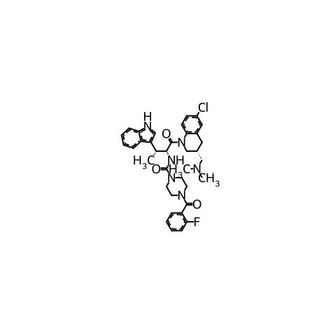 C[C@H](c1c[nH]c2ccccc12)[C@@H](NC(=O)N1CCN(C(=O)c2ccccc2F)CC1)C(=O)N1C[C@@H](CN(C)C)Cc2cc(Cl)ccc21